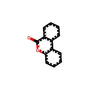 O=c1oc2ccc[c]c2c2ccccc12